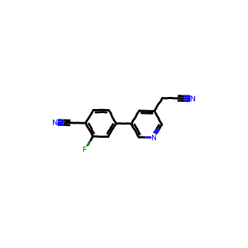 N#CCc1cncc(-c2ccc(C#N)c(F)c2)c1